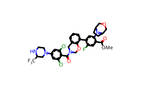 COC(=O)c1cc(F)c(-c2cccc3c2OCN(C(=O)c2c(Cl)cc(N4CCNC(C(F)(F)F)C4)cc2Cl)C3)cc1N1C2CCC1COC2